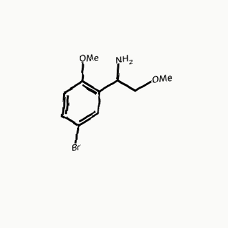 COCC(N)c1cc(Br)ccc1OC